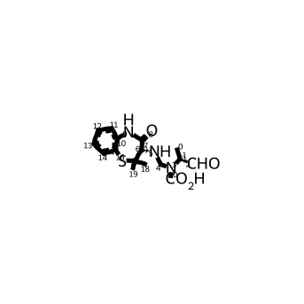 C[C@@H](C=O)N(CN[C@H]1C(=O)Nc2ccccc2SC1(C)C)C(=O)O